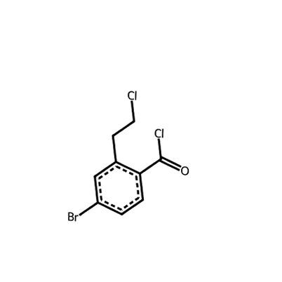 O=C(Cl)c1ccc(Br)cc1CCCl